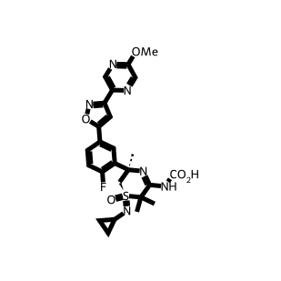 COc1cnc(-c2cc(-c3ccc(F)c([C@]4(C)C[S@@](=O)(=NC5CC5)C(C)(C)C(NC(=O)O)=N4)c3)on2)cn1